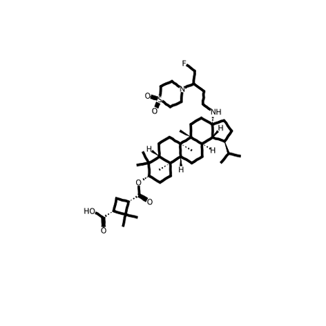 CC(C)[C@@H]1CC[C@]2(NCCC(CF)N3CCS(=O)(=O)CC3)CC[C@]3(C)[C@H](CC[C@@H]4[C@@]5(C)CC[C@H](OC(=O)[C@H]6C[C@@H](C(=O)O)C6(C)C)C(C)(C)[C@@H]5CC[C@]43C)[C@@H]12